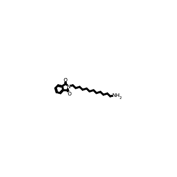 NCCCCCCCCCCCCN1C(=O)c2ccccc2C1=O